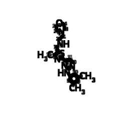 Cc1cc(C)cc(Nc2nccc(-c3nc(C)c(CNCCN4CCOCC4)s3)n2)c1